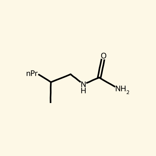 CCCC(C)CNC(N)=O